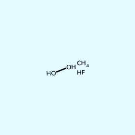 C.F.OO